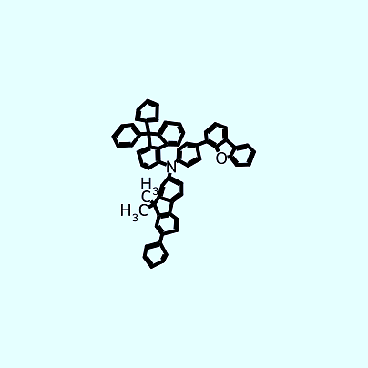 CC1(C)c2cc(-c3ccccc3)ccc2-c2ccc(N(c3ccc(-c4cccc5c4oc4ccccc45)cc3)c3cccc4c3-c3ccccc3C4(c3ccccc3)c3ccccc3)cc21